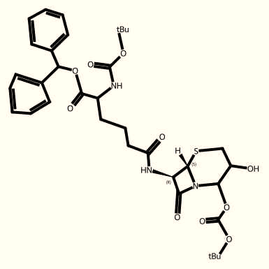 CC(C)(C)OC(=O)NC(CCCC(=O)N[C@@H]1C(=O)N2C(OC(=O)OC(C)(C)C)C(O)CS[C@@H]12)C(=O)OC(c1ccccc1)c1ccccc1